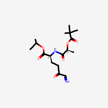 CC(C)OC(=O)[C@H](CCC(=O)C=N)NC(=O)[C@H](C)OC(=O)C(C)(C)C